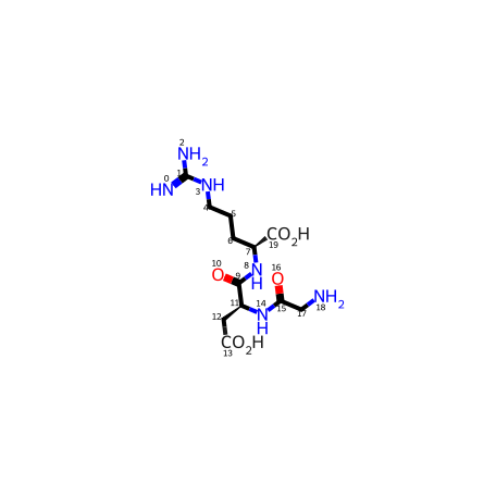 N=C(N)NCCC[C@H](NC(=O)[C@H](CC(=O)O)NC(=O)CN)C(=O)O